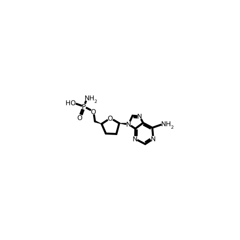 Nc1ncnc2c1ncn2[C@H]1CC[C@@H](COP(N)(=O)O)O1